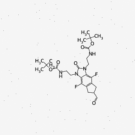 CC(C)(C)OC(=O)NCCn1c(=O)n(CCNC(=O)OC(C)(C)C)c2c(F)c3c(c(F)c21)CC(C=O)C3